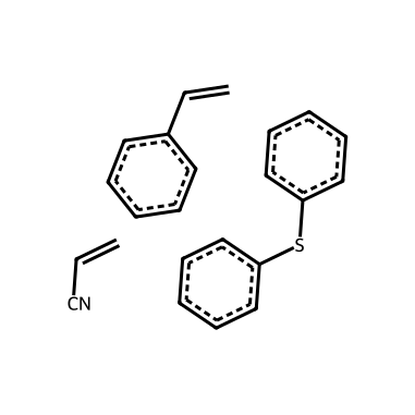 C=CC#N.C=Cc1ccccc1.c1ccc(Sc2ccccc2)cc1